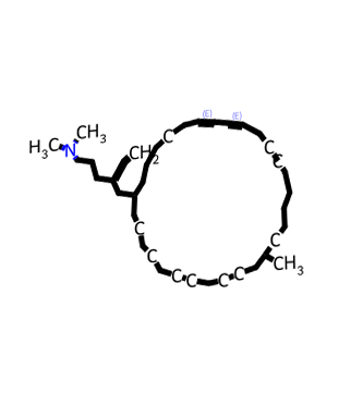 C=C=C(CCCN(C)C)CC1CCCCC/C=C/C=C/CCCCCCCCC(C)CCCCCCCCCCC1